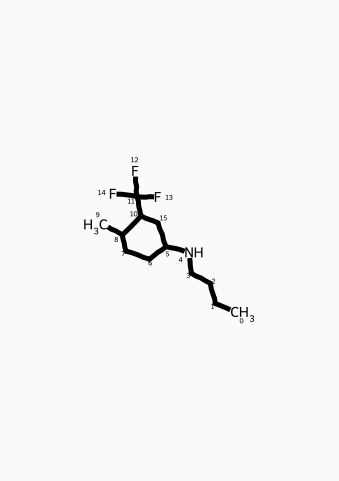 CCCCNC1CCC(C)C(C(F)(F)F)C1